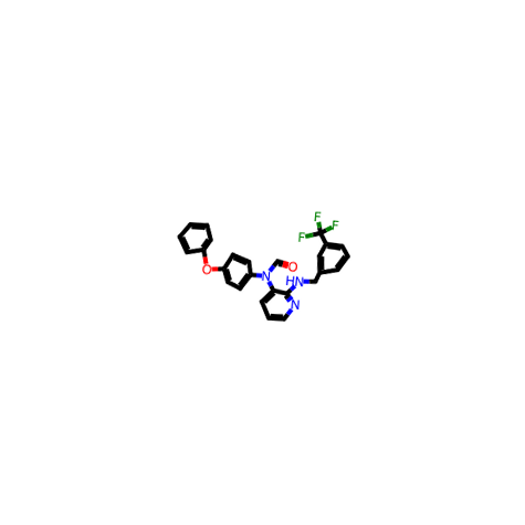 O=CN(c1ccc(Oc2ccccc2)cc1)c1cccnc1NCc1cccc(C(F)(F)F)c1